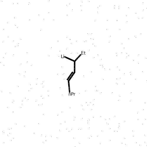 [Li][CH](C=CCCC)CC